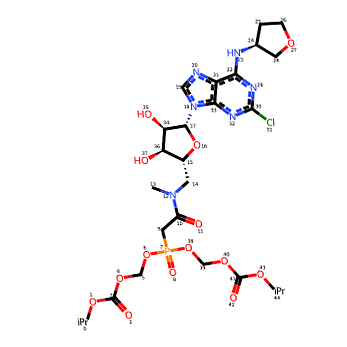 CC(C)OC(=O)OCOP(=O)(CC(=O)N(C)C[C@H]1O[C@@H](n2cnc3c(N[C@H]4CCOC4)nc(Cl)nc32)[C@H](O)[C@@H]1O)OCOC(=O)OC(C)C